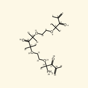 C=C(C)C(=O)C(C)(C)OCCOC(C)(C)C(=O)C(C)(C)OCCOC(C)(P)C(=O)C(=C)C